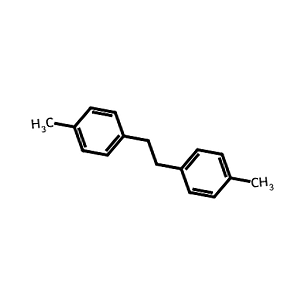 Cc1ccc(CCc2ccc(C)cc2)cc1